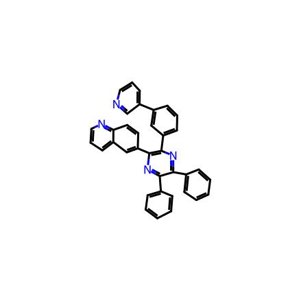 c1ccc(-c2nc(-c3cccc(-c4cccnc4)c3)c(-c3ccc4ncccc4c3)nc2-c2ccccc2)cc1